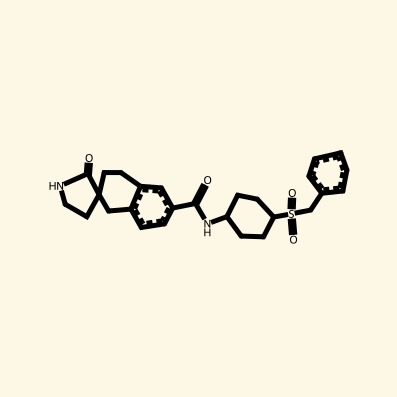 O=C(NC1CCC(S(=O)(=O)Cc2ccccc2)CC1)c1ccc2c(c1)CCC1(CCNC1=O)C2